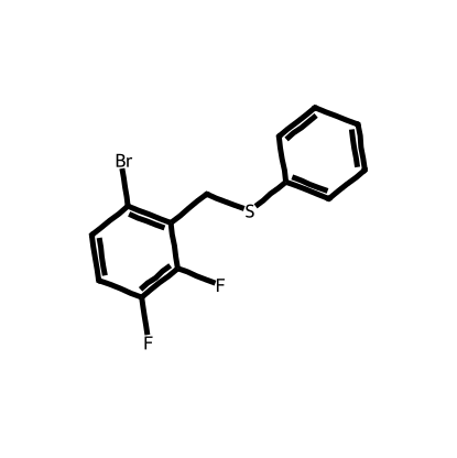 Fc1ccc(Br)c(CSc2ccccc2)c1F